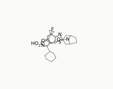 O=C(O)c1cc(F)c2nc(N3C4CCC3CC(OCc3c(C5CCCCC5)noc3C3CC3)C4)sc2c1